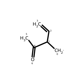 [CH2]C(C=C)C(C)=O